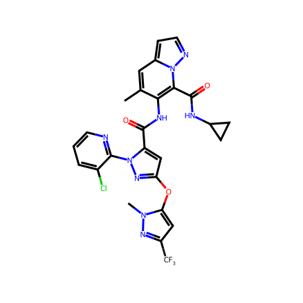 Cc1cc2ccnn2c(C(=O)NC2CC2)c1NC(=O)c1cc(Oc2cc(C(F)(F)F)nn2C)nn1-c1ncccc1Cl